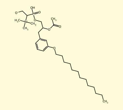 CCCCCCCCCCCCCOc1cccc(CC(COP(=O)(O)C(C[O-])[N+](C)(C)C)OC(C)=O)c1